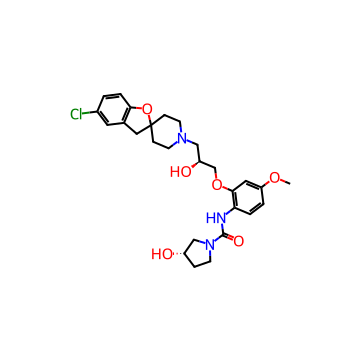 COc1ccc(NC(=O)N2CC[C@H](O)C2)c(OC[C@@H](O)CN2CCC3(CC2)Cc2cc(Cl)ccc2O3)c1